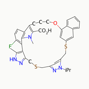 Cc1[nH]nc2c1-c1c(F)ccc3c(c(C(=O)O)n(C)c13)CCCOc1cc(cc3ccccc13)SCc1cc(nn1C(C)C)CSC2